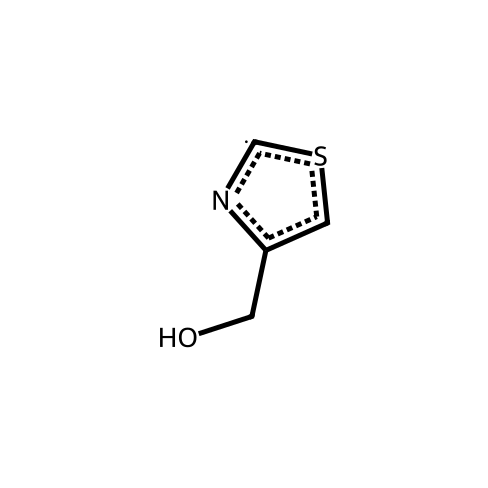 OCc1cs[c]n1